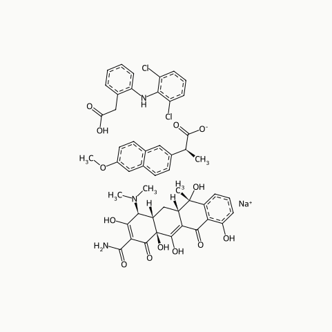 CN(C)[C@@H]1C(O)=C(C(N)=O)C(=O)[C@@]2(O)C(O)=C3C(=O)c4c(O)cccc4[C@@](C)(O)[C@H]3C[C@@H]12.COc1ccc2cc([C@H](C)C(=O)[O-])ccc2c1.O=C(O)Cc1ccccc1Nc1c(Cl)cccc1Cl.[Na+]